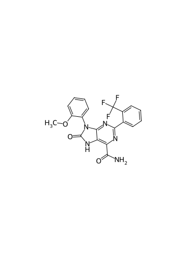 COc1ccccc1-n1c(=O)[nH]c2c(C(N)=O)nc(-c3ccccc3C(F)(F)F)nc21